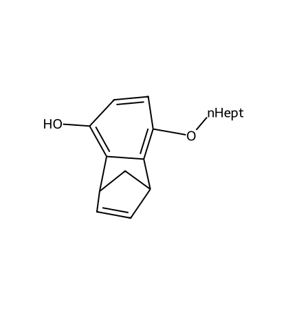 CCCCCCCOc1ccc(O)c2c1C1C=CC2C1